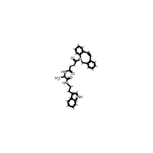 CC(NC(=O)CCC(=O)N1Cc2ccccc2C#Cc2ccccc21)C(=O)NCCc1c[nH]c2ccccc12